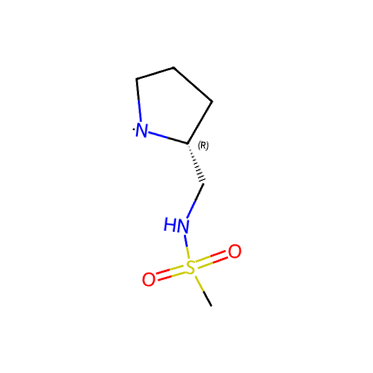 CS(=O)(=O)NC[C@H]1CCC[N]1